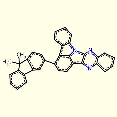 CC1(C)c2ccccc2-c2cc(-c3ccc4c5nc6ccccc6nc5n5c6ccccc6c3c45)ccc21